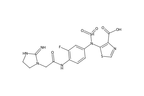 N=C1NCCN1CC(=O)Nc1ccc(N(c2scnc2C(=O)O)[SH](=O)=O)cc1F